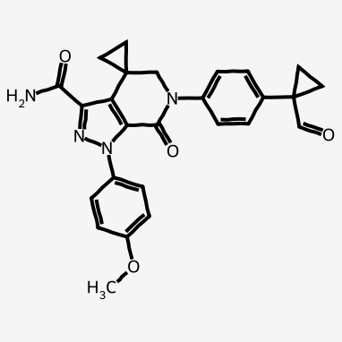 COc1ccc(-n2nc(C(N)=O)c3c2C(=O)N(c2ccc(C4(C=O)CC4)cc2)CC32CC2)cc1